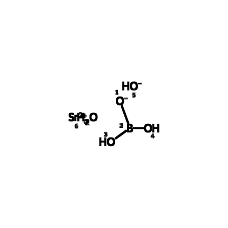 O.[O-]B(O)O.[OH-].[Sr+2]